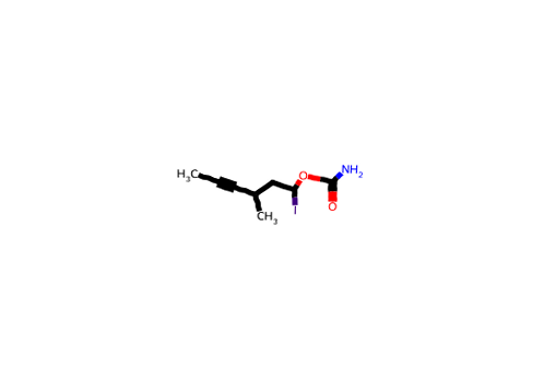 CC#CC(C)CC(I)OC(N)=O